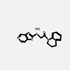 Cl.O=C(CSc1nc2cnccc2s1)N1CCCc2ccccc21